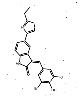 CCc1nc(-c2ccc3c(c2)C(=Cc2cc(Br)c(O)c(Br)c2)C(=O)N3)cs1